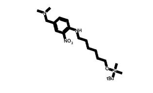 CN(C)Cc1ccc(NCCCCCCO[Si](C)(C)C(C)(C)C)c([N+](=O)[O-])c1